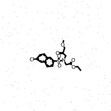 CCOC(=O)CN(CC(=O)COC)S(=O)(=O)c1ccc2cc(Cl)ccc2c1